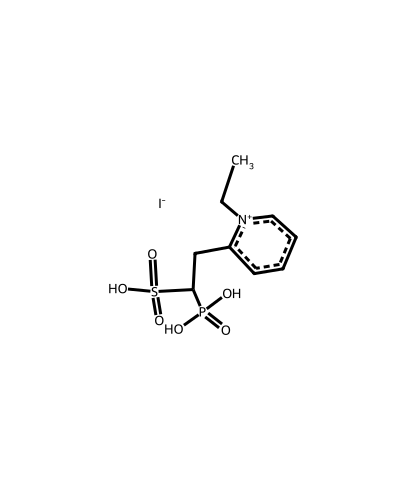 CC[n+]1ccccc1CC(P(=O)(O)O)S(=O)(=O)O.[I-]